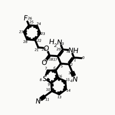 CC1=C(C#N)C(c2csc3c(C#N)cccc23)C(C(=O)OCc2ccc(F)cc2)=C(N)N1